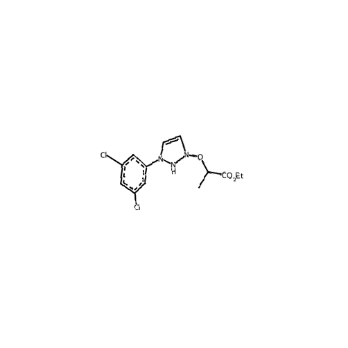 CCOC(=O)C(C)ON1C=CN(c2cc(Cl)cc(Cl)c2)N1